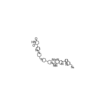 C=NCc1cnn2c(-c3cc(NC)c(-c4nnc(N5CCC(C6CCN(CC7CCN(c8ccc([C@@H]9CCC(=O)NC9=O)cn8)CC7)CC6)CC5)s4)cn3)ccc2c1